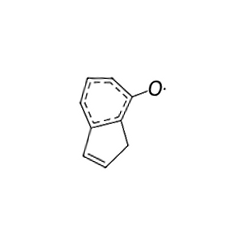 [O]c1cccc2c1CC=C2